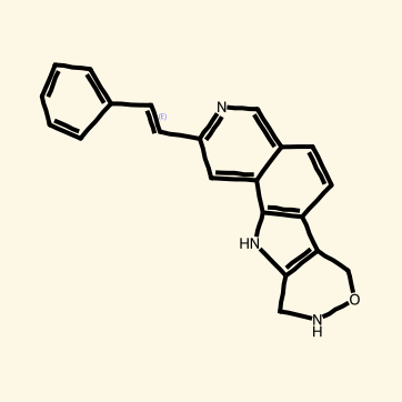 C(=C\c1cc2c(ccc3c4c([nH]c32)CNOC4)cn1)/c1ccccc1